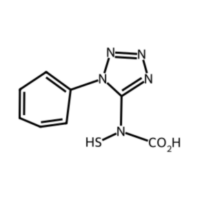 O=C(O)N(S)c1nnnn1-c1ccccc1